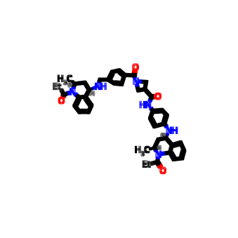 CCC(=O)N1c2ccccc2[C@H](NCc2ccc(C(=O)N3CC(C(=O)Nc4ccc(N[C@@H]5C[C@H](C)N(C(=O)CC)c6ccccc65)cc4)C3)cc2)C[C@@H]1C